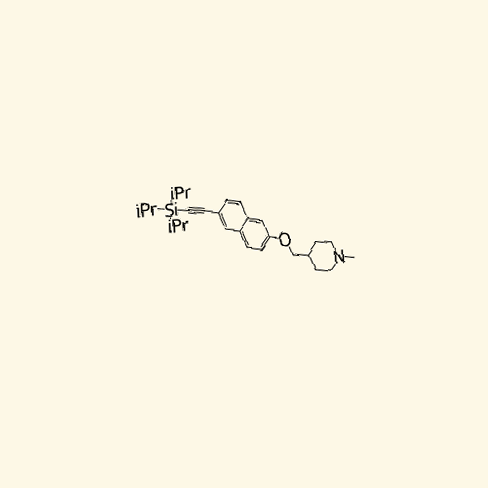 CC(C)[Si](C#Cc1ccc2cc(OCC3CCN(C)CC3)ccc2c1)(C(C)C)C(C)C